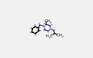 C[C](C)CN1CCN(Cc2ccccc2)C(C)C1